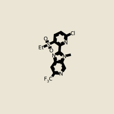 CCS(=O)(=O)c1ccc(Cl)nc1-c1nc2cc(C(F)(F)F)ncc2n1C